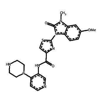 COc1ccc2c(c1)n(C)c(=O)n2-c1nc(C(=O)Nc2cnccc2N2CCNCC2)cs1